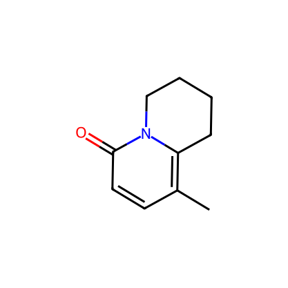 Cc1ccc(=O)n2c1CCCC2